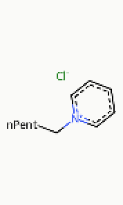 CCCCCC[n+]1ccccc1.[Cl-]